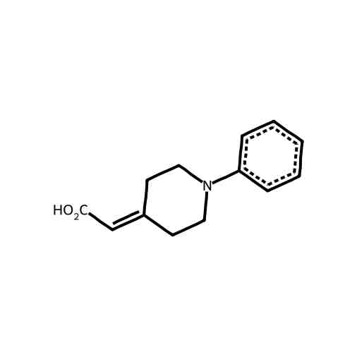 O=C(O)C=C1CCN(c2ccccc2)CC1